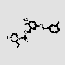 CCC1CNCCN1C(=O)OCc1cc(OCc2cccc(C)c2)ccc1F.Cl